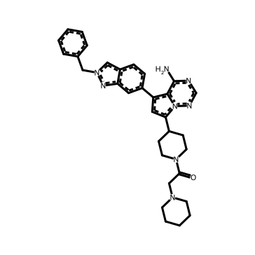 Nc1ncnn2c(C3CCN(C(=O)CN4CCCCC4)CC3)cc(-c3ccc4cn(Cc5ccccc5)nc4c3)c12